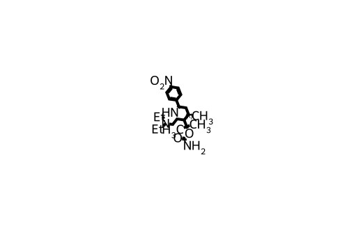 CCN(CC)CCC([C@H](C)CC(=N)c1ccc([N+](=O)[O-])cc1)C(C)(C)OC(N)=O